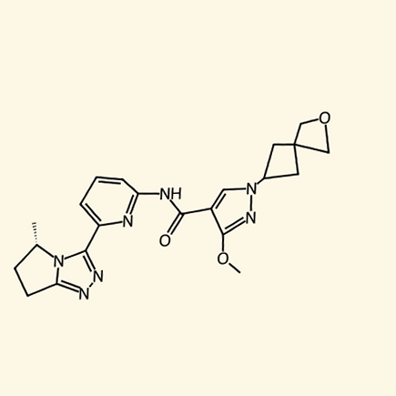 COc1nn(C2CC3(COC3)C2)cc1C(=O)Nc1cccc(-c2nnc3n2[C@@H](C)CC3)n1